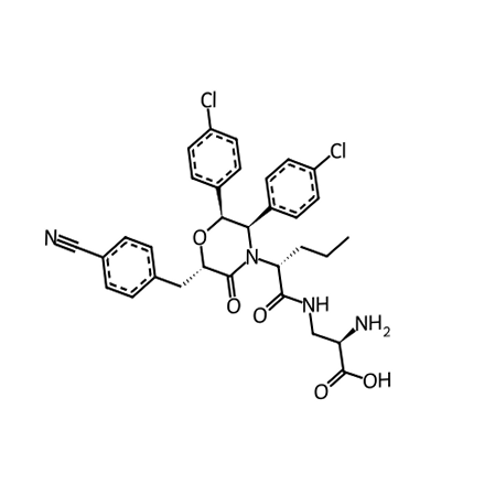 CCC[C@H](C(=O)NC[C@@H](N)C(=O)O)N1C(=O)[C@H](Cc2ccc(C#N)cc2)O[C@@H](c2ccc(Cl)cc2)[C@H]1c1ccc(Cl)cc1